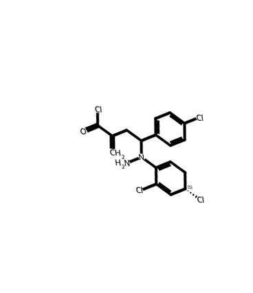 C=C(CC(c1ccc(Cl)cc1)N(N)C1=CC[C@H](Cl)C=C1Cl)C(=O)Cl